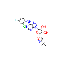 CC(C)(C)c1cc([C@H]2O[C@@H](n3cnc4c(Nc5ccc(F)cc5Cl)ncnc43)[C@H](O)[C@@H]2O)on1